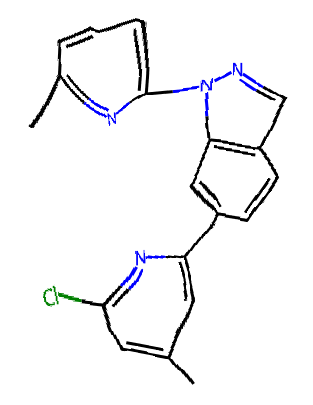 Cc1cc(Cl)nc(-c2ccc3cnn(-c4cccc(C)n4)c3c2)c1